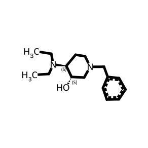 CCN(CC)[C@H]1CCN(Cc2ccccc2)C[C@@H]1O